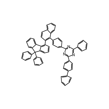 c1ccc(-c2ccc(-c3nc(-c4ccccc4)nc(-c4ccc(-c5c(-c6cccc7c6-c6ccccc6C7(c6ccccc6)c6ccccc6)ccc6ccccc56)cc4)n3)cc2)cc1